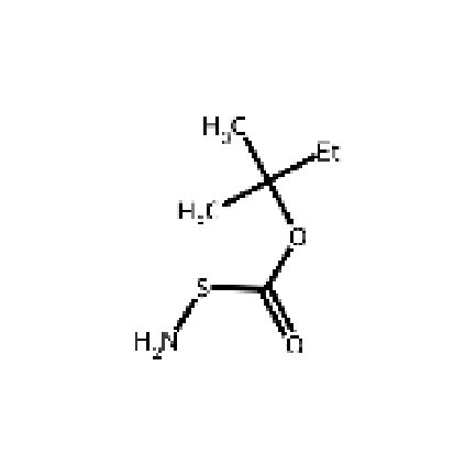 CCC(C)(C)OC(=O)SN